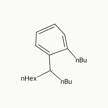 CCCCCC[C](CCCC)c1ccccc1CCCC